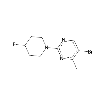 Cc1nc(N2CCC(F)CC2)ncc1Br